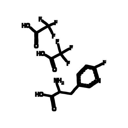 NC(Cc1ccc(F)nc1)C(=O)O.O=C(O)C(F)(F)F.O=C(O)C(F)(F)F